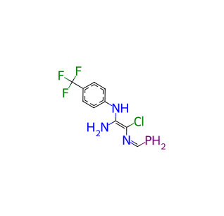 N/C(Nc1ccc(C(F)(F)F)cc1)=C(Cl)\N=C/P